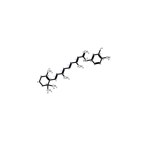 C=C(/C=C(C)/C=C/C=C(C)/C=C/C1=C(C)CCCC1(C)C)Nc1ccc(O)c(I)c1